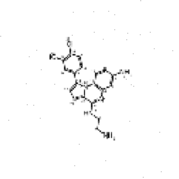 NCCNc1nc2cc(N)ccc2n2c(-c3ccc(O)c(O)c3)cnc12